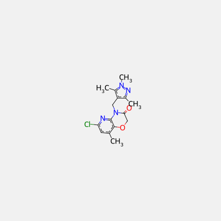 Cc1cc(Cl)nc2c1OCC(=O)N2Cc1c(C)nn(C)c1C